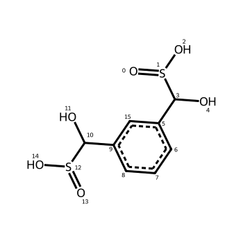 O=S(O)C(O)c1cccc(C(O)S(=O)O)c1